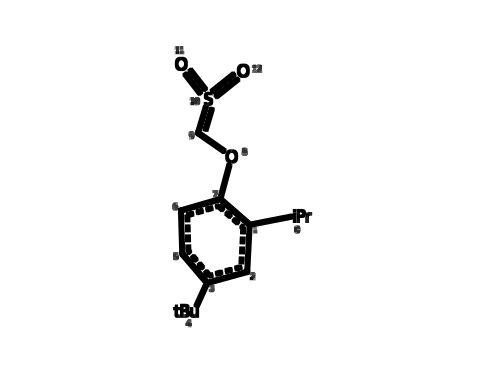 CC(C)c1cc(C(C)(C)C)ccc1OC=S(=O)=O